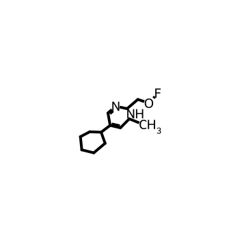 CC/C=C(\C=N/C(=N)COF)C1CCCCC1